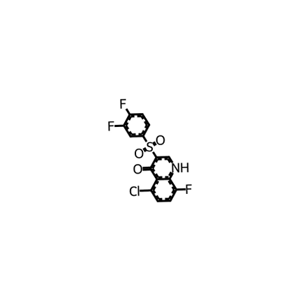 O=c1c(S(=O)(=O)c2ccc(F)c(F)c2)c[nH]c2c(F)ccc(Cl)c12